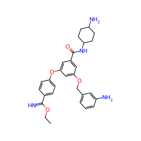 CCOC(=N)c1ccc(Oc2cc(OCc3cccc(N)c3)cc(C(=O)NC3CCC(N)CC3)c2)cc1